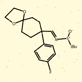 CC(C)(C)[S+]([O-])N=CC1(c2ccc(F)cc2)CCC2(CC1)OCCO2